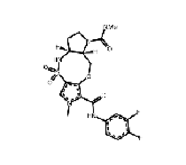 CNC(=O)N1CC[C@H]2NS(=O)(=O)c3cn(C)c(C(=O)Nc4ccc(F)c(F)c4)c3OC[C@H]21